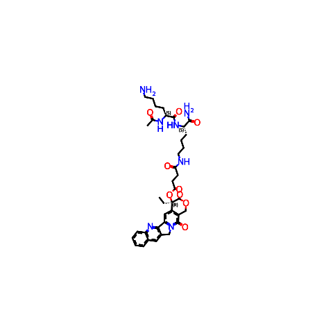 CC[C@]1(OC(=O)CCC(=O)NCCCC[C@H](NC(=O)[C@H](CCCCN)NC(C)=O)C(N)=O)C(=O)OCc2c1cc1n(c2=O)Cc2cc3ccccc3nc2-1